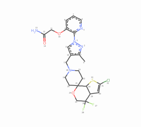 Cc1nn(-c2ncccc2OCC(N)=O)cc1CN1CCC2(CC1)OCC(F)(F)C1C=C(Cl)SC12